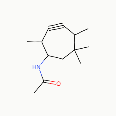 CC(=O)NC1CC(C)(C)C(C)C#CC1C